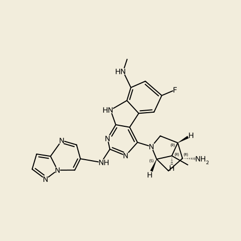 CNc1cc(F)cc2c1[nH]c1nc(Nc3cnc4ccnn4c3)nc(N3C[C@H]4[C@@H](C)[C@@H]3C[C@H]4N)c12